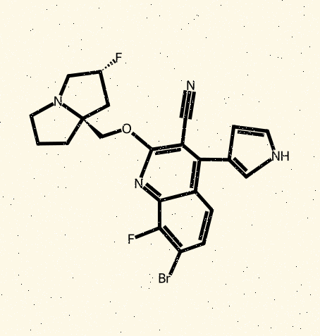 N#Cc1c(OC[C@@]23CCCN2C[C@H](F)C3)nc2c(F)c(Br)ccc2c1-c1cc[nH]c1